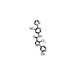 N#Cc1cc(-n2ncc(C(=O)Nc3cnc(-n4nccn4)c(C#N)c3)c2C(F)(F)F)ccn1